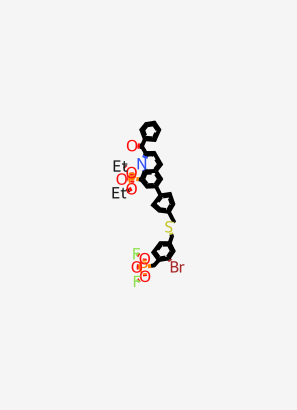 CCOP(=O)(OCC)c1cc(-c2ccc(CSCc3ccc(CP(=O)(OF)OF)c(Br)c3)cc2)cc2ccc(C(=O)c3ccccc3)nc12